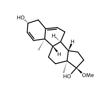 CO[C@]1(O)CC[C@H]2[C@@H]3CC=C4C[C@@H](O)C=C[C@]4(C)[C@H]3CC[C@@]21C